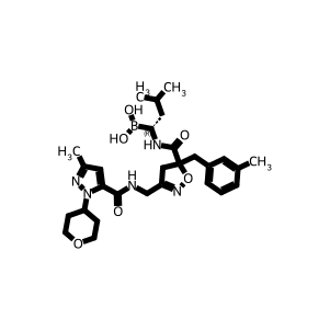 Cc1cccc(CC2(C(=O)N[C@@H](CC(C)C)B(O)O)CC(CNC(=O)c3cc(C)nn3C3CCOCC3)=NO2)c1